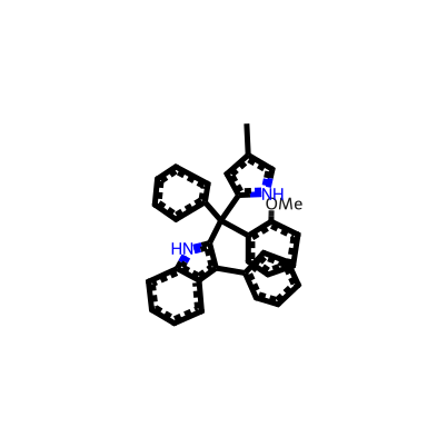 COc1ccccc1C(c1ccccc1)(c1cc(C)c[nH]1)c1[nH]c2ccccc2c1-c1ccccc1